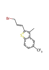 Cc1c(/C=C/CBr)sc2ccc(C(F)(F)F)cc12